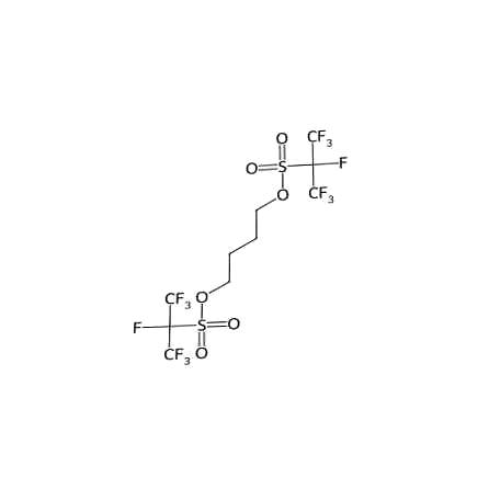 O=S(=O)(OCCCCOS(=O)(=O)C(F)(C(F)(F)F)C(F)(F)F)C(F)(C(F)(F)F)C(F)(F)F